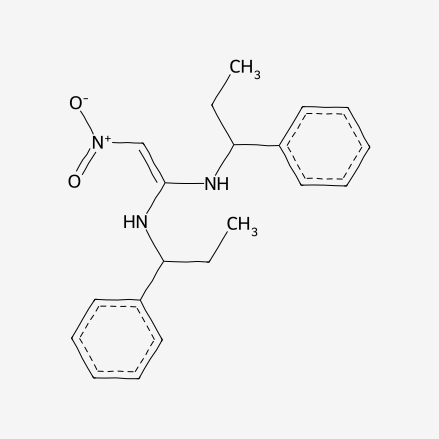 CCC(NC(=C[N+](=O)[O-])NC(CC)c1ccccc1)c1ccccc1